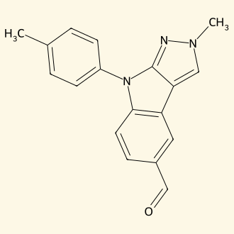 Cc1ccc(-n2c3ccc(C=O)cc3c3cn(C)nc32)cc1